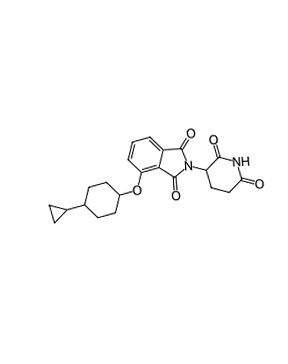 O=C1CCC(N2C(=O)c3cccc(OC4CCC(C5CC5)CC4)c3C2=O)C(=O)N1